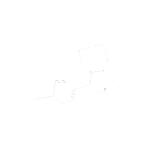 CC(=O)CC1CCCCCN1Cc1ccc(Cl)cc1